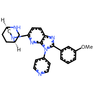 COc1cccc(-c2nc3ccc(N4C[C@H]5CC[C@@H]4CN5)nc3n2-c2ccncc2)c1